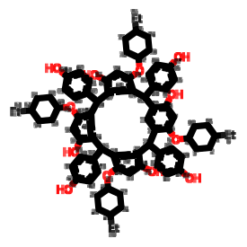 CCC1CCC(Oc2cc(O)c3cc2C(c2ccc(O)cc2)c2cc(c(OC4CCC(CC)CC4)cc2O)C(c2ccc(O)cc2)c2cc(c(OC4CCC(CC)CC4)cc2O)C(c2ccc(O)cc2)c2cc(c(OC4CCC(CC)CC4)cc2O)C3c2ccc(O)cc2)CC1